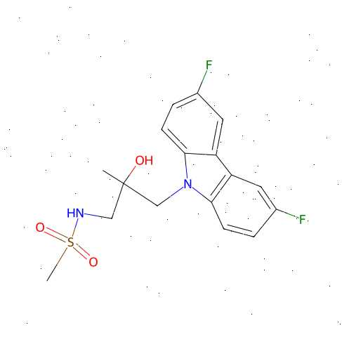 CC(O)(CNS(C)(=O)=O)Cn1c2ccc(F)cc2c2cc(F)ccc21